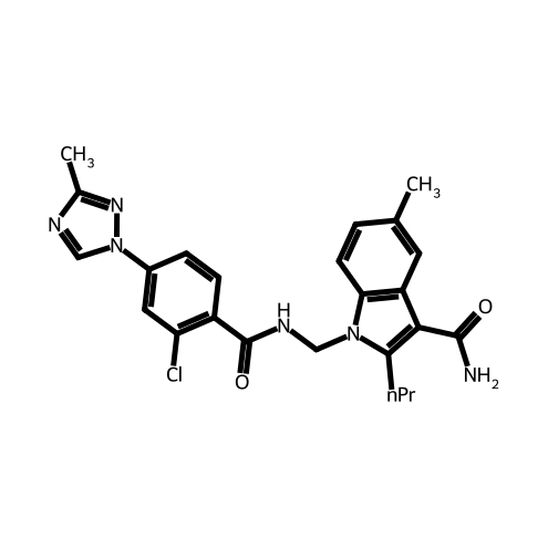 CCCc1c(C(N)=O)c2cc(C)ccc2n1CNC(=O)c1ccc(-n2cnc(C)n2)cc1Cl